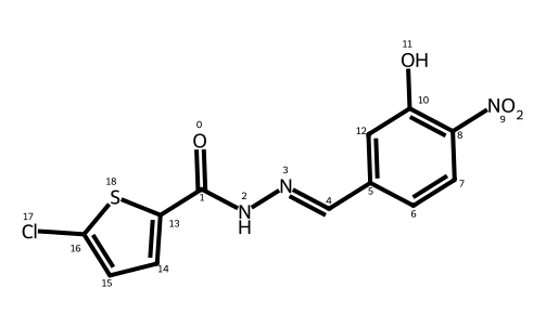 O=C(NN=Cc1ccc([N+](=O)[O-])c(O)c1)c1ccc(Cl)s1